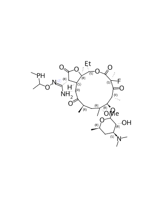 CC[C@@H]1OC(=O)[C@@](C)(F)C(=O)[C@H](C)[C@@H](OC2O[C@H](C)C[C@H](N(C)C)[C@H]2O)[C@](C)(OC)C[C@@H](C)C(=O)[C@H](C)[C@H]2[C@H](/C(N)=N/OC(C)PC)C(=O)O[C@]21C